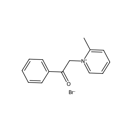 Cc1cccc[n+]1CC(=O)c1ccccc1.[Br-]